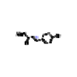 CNC(=O)/C=C/c1ccc(Br)cc1